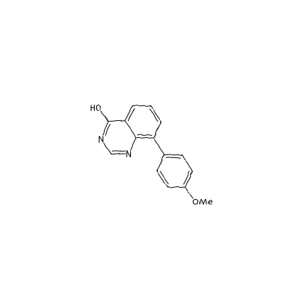 COc1ccc(-c2cccc3c(O)ncnc23)cc1